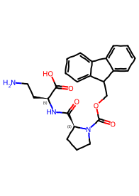 NCC[C@H](NC(=O)[C@@H]1CCCN1C(=O)OCC1c2ccccc2-c2ccccc21)C(=O)O